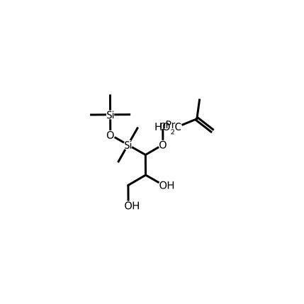 C=C(C)C(=O)O.CCCOC(C(O)CO)[Si](C)(C)O[Si](C)(C)C